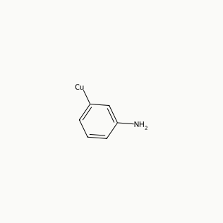 Nc1ccc[c]([Cu])c1